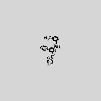 Cc1cccc(C=NNc2cc(N3CCOCC3)cc(OCC[N+]3([O-])CCOCC3)n2)c1